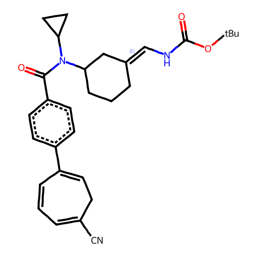 CC(C)(C)OC(=O)N/C=C1\CCCC(N(C(=O)c2ccc(C3=CCC(C#N)=CC=C3)cc2)C2CC2)C1